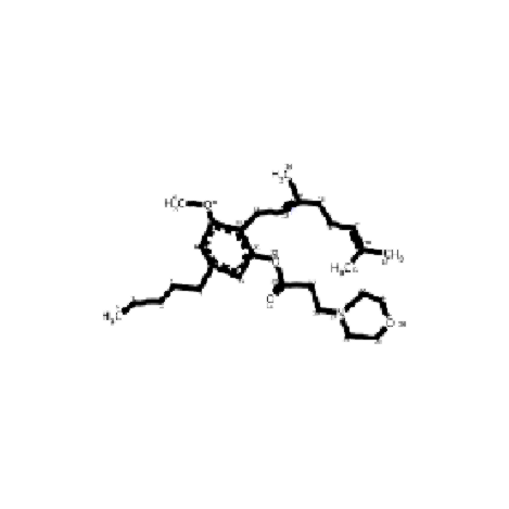 CCCCCc1cc(OC)c(C/C=C(\C)CCC=C(C)C)c(OC(=O)CCN2CCOCC2)c1